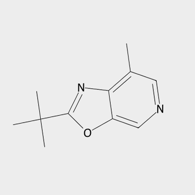 Cc1cncc2oc(C(C)(C)C)nc12